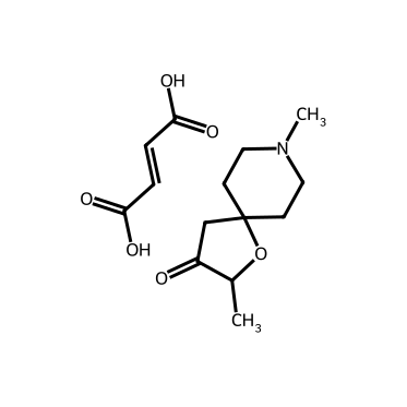 CC1OC2(CCN(C)CC2)CC1=O.O=C(O)C=CC(=O)O